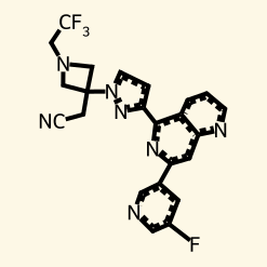 N#CCC1(n2ccc(-c3nc(-c4cncc(F)c4)cc4ncccc34)n2)CN(CC(F)(F)F)C1